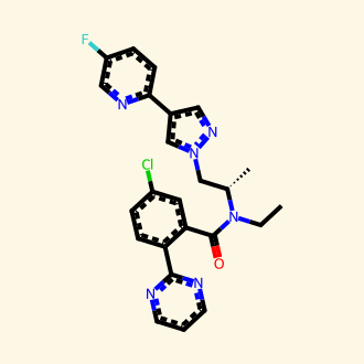 CCN(C(=O)c1cc(Cl)ccc1-c1ncccn1)[C@@H](C)Cn1cc(-c2ccc(F)cn2)cn1